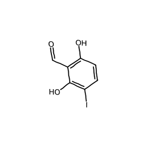 O=Cc1c(O)ccc(I)c1O